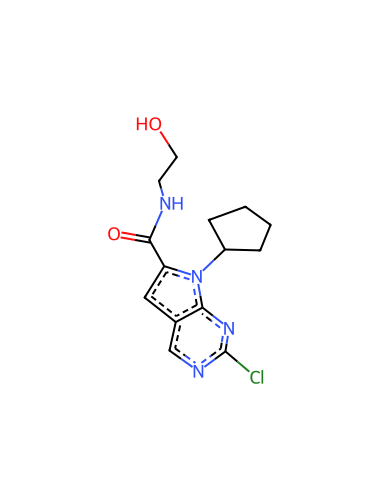 O=C(NCCO)c1cc2cnc(Cl)nc2n1C1CCCC1